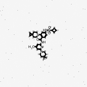 Cc1cc(NC(=O)c2ccc(NS(=O)(=O)C3CCC3)cc2N2CCC3(CC2)CC3)nc(N2CCC(F)(F)CC2)c1